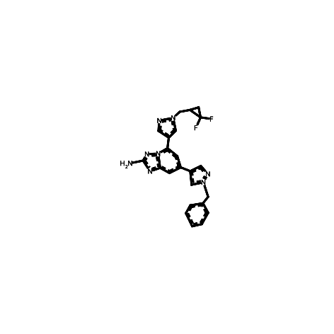 Nc1nc2cc(-c3cnn(Cc4ccccc4)c3)cc(-c3cnn(CC4CC4(F)F)c3)n2n1